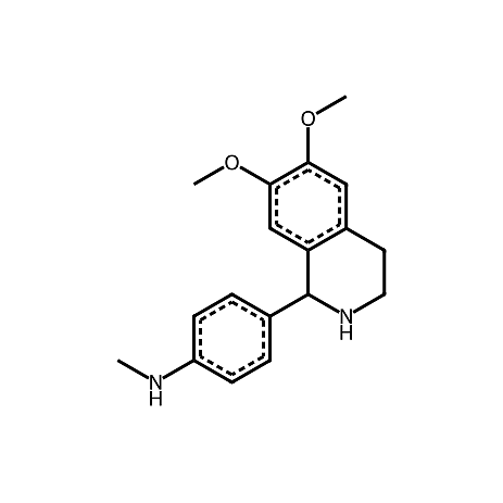 CNc1ccc(C2NCCc3cc(OC)c(OC)cc32)cc1